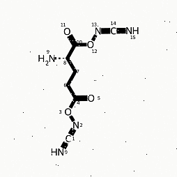 N=C=NOC(=O)CC[C@H](N)C(=O)ON=C=N